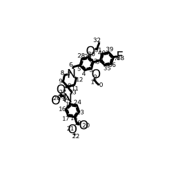 CCOc1cc(CN2CCC3(CC2)CN(c2ccc(C(=O)OC)cc2)C(=O)O3)cc(OCC)c1-c1ccc(F)cc1